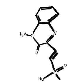 CP(=O)(O)/C=C/c1nc2ccccc2n(N)c1=O